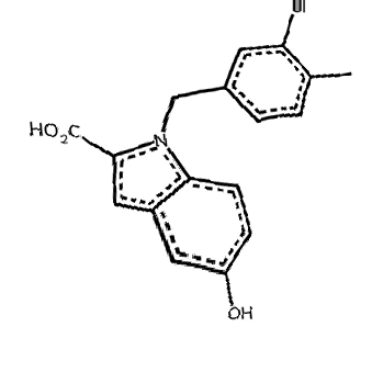 Cc1ccc(Cn2c(C(=O)O)cc3cc(O)ccc32)cc1Cl